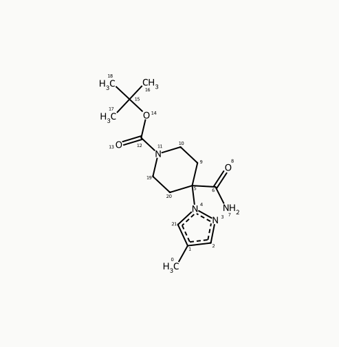 Cc1cnn(C2(C(N)=O)CCN(C(=O)OC(C)(C)C)CC2)c1